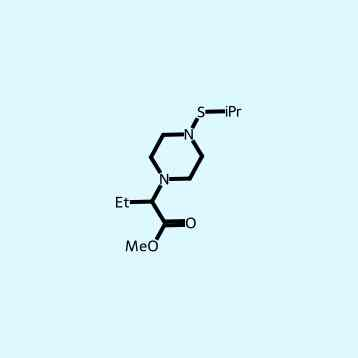 CCC(C(=O)OC)N1CCN(SC(C)C)CC1